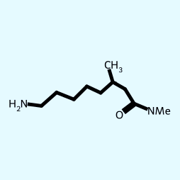 CNC(=O)C[C](C)CCCCCN